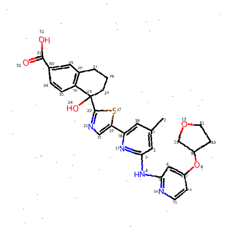 Cc1cc(Nc2cc(OC3CCOC3)ccn2)nc(-c2cnc(C3(O)CCCc4cc(C(=O)O)ccc43)s2)c1